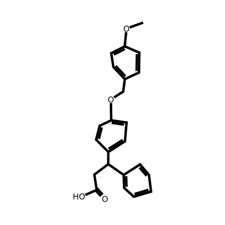 COc1ccc(COc2ccc(C(CC(=O)O)c3ccccc3)cc2)cc1